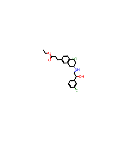 CCOC(=O)CCc1ccc2c(c1)C[C@@H](NC[C@@H](O)c1cccc(Cl)c1)CC2.Cl